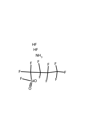 F.F.N.O=S(=O)(F)C(F)(F)C(F)(F)C(F)(F)C(F)(F)F